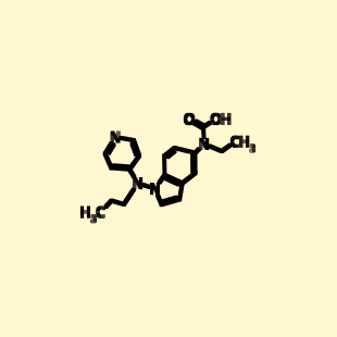 CCCN(c1ccncc1)n1ccc2cc(N(CC)C(=O)O)ccc21